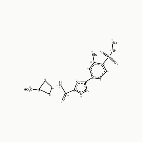 CC(C)(C)NS(=O)(=O)c1ccc(-c2cnc(C(=O)N[C@H]3C[C@H](C(=O)O)C3)s2)cc1C(C)(C)C